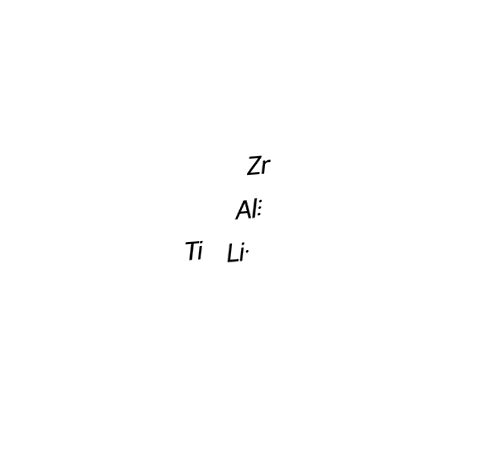 [Al].[Li].[Ti].[Zr]